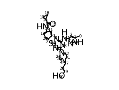 Cc1cc(Nc2nc(Sc3ccc(NC(=O)C4CC4)cc3)nc(N3CCN(CCCO)CC3)n2)n[nH]1